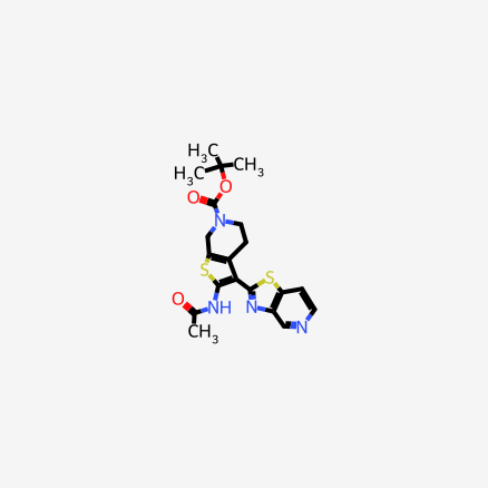 CC(=O)Nc1sc2c(c1-c1nc3cnccc3s1)CCN(C(=O)OC(C)(C)C)C2